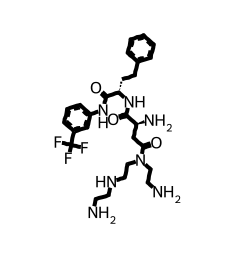 NCCNCCN(CCN)C(=O)C[C@H](N)C(=O)N[C@@H](CCc1ccccc1)C(=O)Nc1cccc(C(F)(F)F)c1